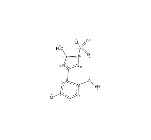 CCCOc1ccc(Cl)cc1-c1nc(C)c(S(=O)(=O)Cl)s1